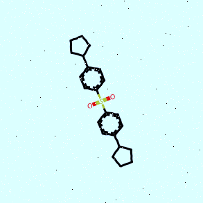 O=S(=O)(c1ccc(C2CCCC2)cc1)c1ccc(C2CCCC2)cc1